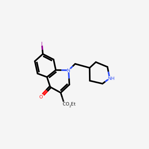 CCOC(=O)c1cn(CC2CCNCC2)c2cc(I)ccc2c1=O